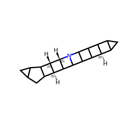 C1C2CC3C(C12)[C@H]1[C@H]3C2C3C4C5C(C6C7CC7[C@H]65)C4N3[C@H]21